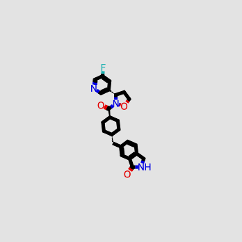 O=C1NCc2ccc(C[C@H]3CC[C@H](C(=O)N4OCC[C@H]4c4cncc(F)c4)CC3)cc21